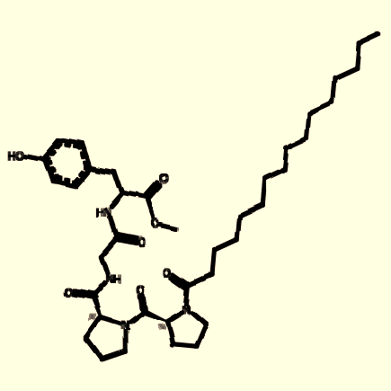 CCCCCCCCCCCCCCCC(=O)N1CCC[C@H]1C(=O)N1CCC[C@H]1C(=O)NCC(=O)NC(Cc1ccc(O)cc1)C(=O)OC